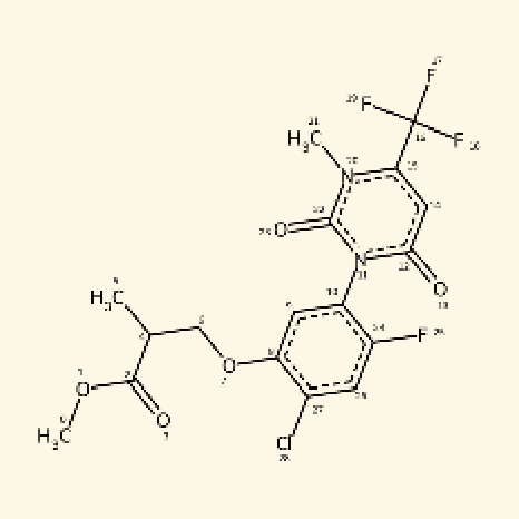 COC(=O)C(C)COc1cc(-n2c(=O)cc(C(F)(F)F)n(C)c2=O)c(F)cc1Cl